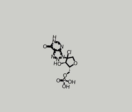 O=c1[nH]cnc2c1nnn2C1(Cl)CO[C@H](COP(=O)(O)O)[C@H]1O